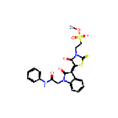 CCOS(=O)(=O)CCN1C(=O)/C(=C2\C(=O)N(CC(=O)Nc3ccccc3)c3ccccc32)SC1=S